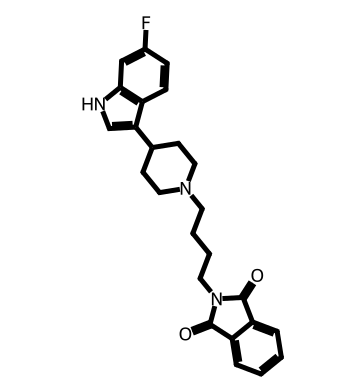 O=C1c2ccccc2C(=O)N1CCCCN1CCC(c2c[nH]c3cc(F)ccc23)CC1